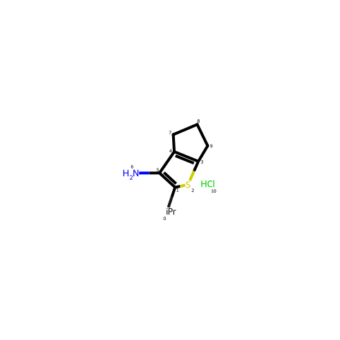 CC(C)c1sc2c(c1N)CCC2.Cl